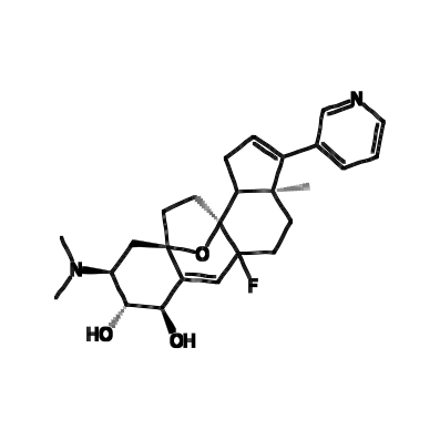 CN(C)[C@H]1C[C@@]23CC[C@]4(O2)C2CC=C(c5cccnc5)[C@@]2(C)CCC4(F)C=C3[C@@H](O)[C@@H]1O